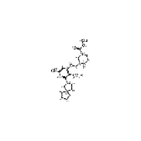 CC(C)(C)OC(=O)N1CCN[C@@H](COc2cc(Cl)nc(N3CCC4(CCCC4)C3)c2C(=O)O)C1